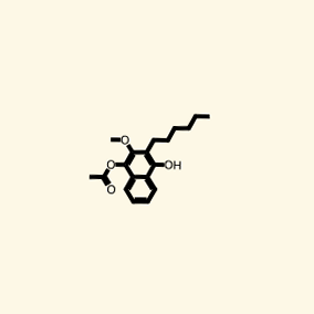 CCCCCCc1c(OC)c(OC(C)=O)c2ccccc2c1O